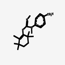 C/N=C(/SC1=C(C)C(C)(C)CCC1(C)C)N(C)c1ccc(C(=O)O)cc1